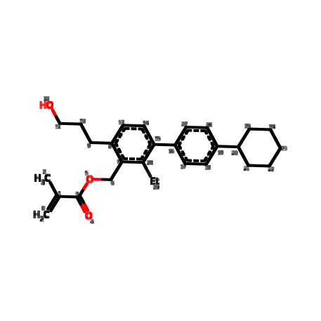 C=C(C)C(=O)OCc1c(CCCO)ccc(-c2ccc(C3CCCCC3)cc2)c1CC